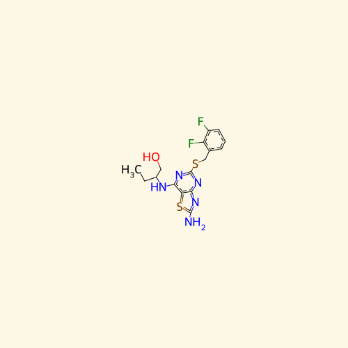 CCC(CO)Nc1nc(SCc2cccc(F)c2F)nc2nc(N)sc12